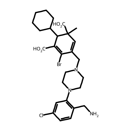 CC1(C(=O)O)C=C(CN2CCN(c3cc(Cl)ccc3CN)CC2)C(Br)=C(C(=O)O)C1C1CCCCC1